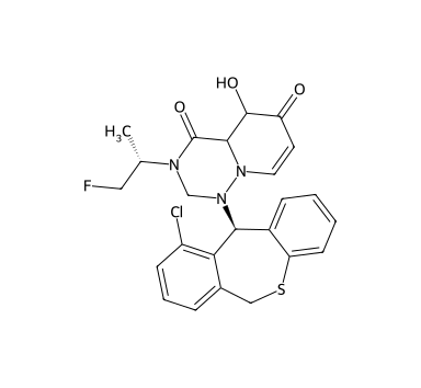 C[C@@H](CF)N1CN([C@H]2c3ccccc3SCc3cccc(Cl)c32)N2C=CC(=O)C(O)C2C1=O